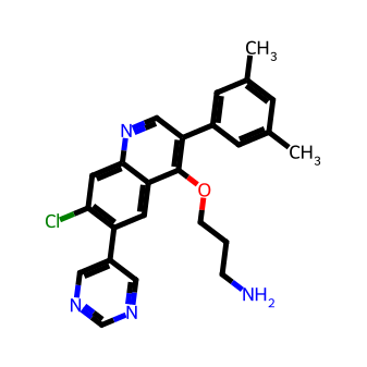 Cc1cc(C)cc(-c2cnc3cc(Cl)c(-c4cncnc4)cc3c2OCCCN)c1